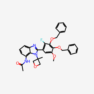 COc1cc(-c2nc3cccc(NC(C)=O)c3n2C2(C)COC2)c(F)c(OCc2ccccc2)c1OCc1ccccc1